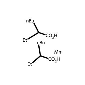 CCCCC(CC)C(=O)O.CCCCC(CC)C(=O)O.[Mn]